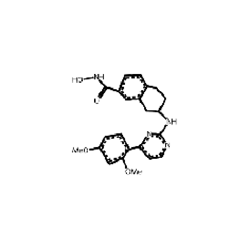 COc1ccc(-c2ccnc(NC3CCc4ccc(C(=O)NO)cc4C3)n2)c(OC)c1